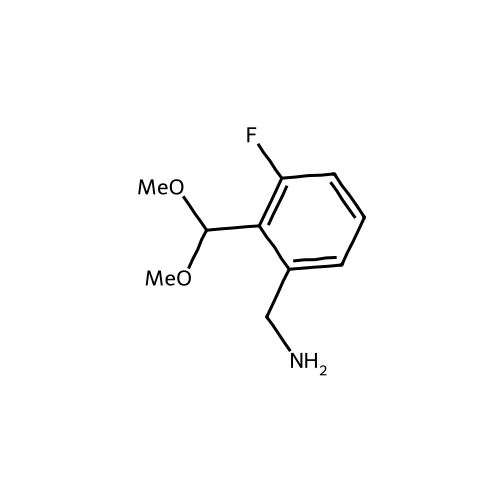 COC(OC)c1c(F)cccc1CN